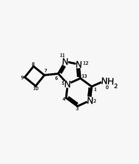 Nc1nccn2c(C3CCC3)nnc12